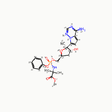 CC(C)OC(=O)C(C)(C)NP(=O)(OC[C@@H]1C[C@@H](O)[C@](C#N)(c2ccc3c(N)ncnn23)O1)Oc1ccccc1